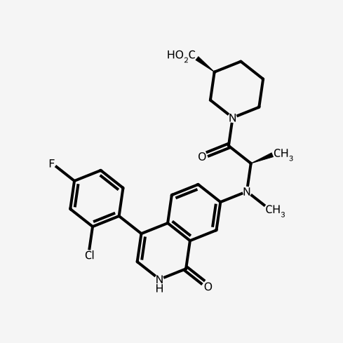 C[C@H](C(=O)N1CCC[C@H](C(=O)O)C1)N(C)c1ccc2c(-c3ccc(F)cc3Cl)c[nH]c(=O)c2c1